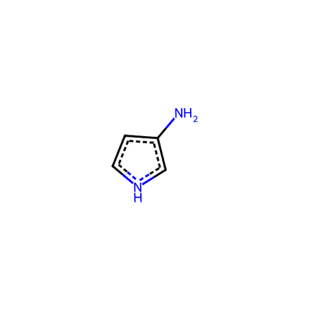 Nc1cc[nH]c1